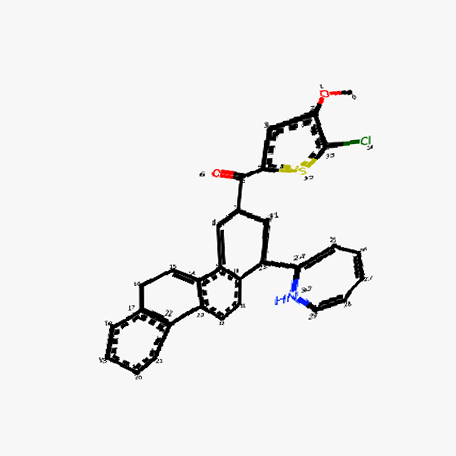 COc1cc(C(=O)C2C=c3c(ccc4c3=CCc3ccccc3-4)C(C3=CC=CC=CN3)C2)sc1Cl